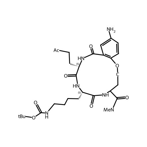 CNC(=O)C1CCOc2ccc(N)cc2C(=O)N[C@@H](CCC(C)=O)C(=O)N[C@@H](CCCCNC(=O)OC(C)(C)C)C(=O)N1